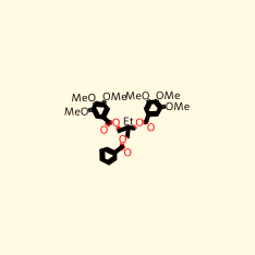 CCC(COC(=O)c1ccccc1)(COC(=O)c1cc(OC)c(OC)c(OC)c1)COC(=O)c1cc(OC)c(OC)c(OC)c1